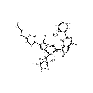 COCCN1CCN(c2nc3c(N4C[C@H]5C[C@@H]4CO5)nc(-n4ncc5c(C)nc(-c6cnccc6O)cc54)cc3n2C)CC1